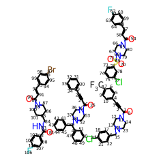 O=C(C#Cc1ccc(C(F)(F)F)cc1)N1CCN(Cc2ccc(Cl)cc2)CC1.O=C(C#Cc1ccccc1)N1CCN(C(c2ccccc2)c2ccccc2)CC1.O=C(C=Cc1ccc(F)cc1)N1CCN(S(=O)(=O)c2cccc(Cl)c2)CC1.O=C(NCC1CCN(C(=O)/C=C/c2ccc(Br)cc2)CC1)c1ccc(F)cc1